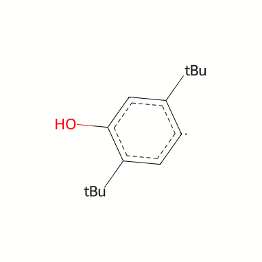 CC(C)(C)c1[c]cc(C(C)(C)C)c(O)c1